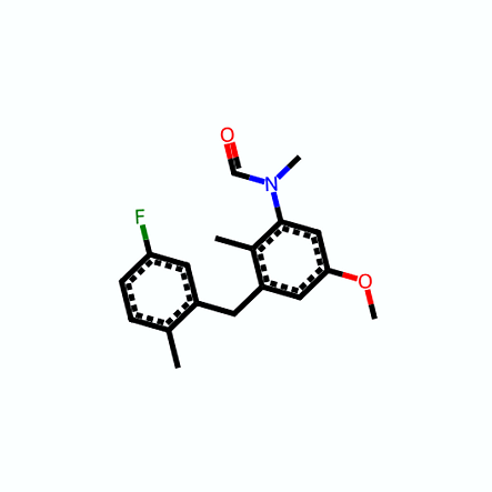 COc1cc(Cc2cc(F)ccc2C)c(C)c(N(C)C=O)c1